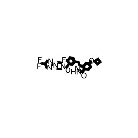 O=C(c1cc(Cc2n[nH]c(=O)c3ccc(OC4CCC4)cc23)ccc1F)N1CCN(c2ncc(C(F)F)cn2)CC1